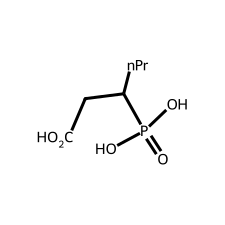 CCCC(CC(=O)O)P(=O)(O)O